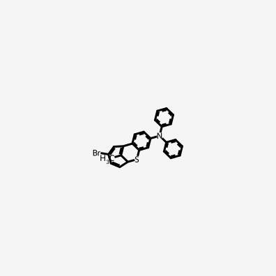 CC1=C2C=C(Br)C=CC1Sc1cc(N(c3ccccc3)c3ccccc3)ccc12